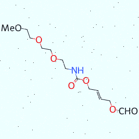 COCCOCCOCCNC(=O)OC/C=C/COC=O